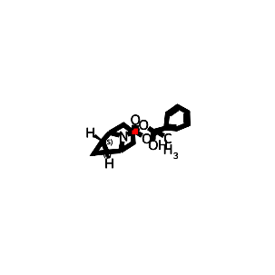 CCOC(=O)N1C2CC(OC(O)c3ccccc3)CC1[C@@H]1C[C@H]21